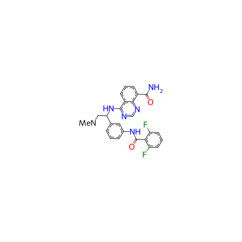 CNCC(Nc1ncnc2c(C(N)=O)cccc12)c1cccc(NC(=O)c2c(F)cccc2F)c1